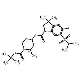 CC(C)S(=O)(=O)c1cc2c(cc1F)C(C)(C)CN2C(=O)CN1CCN(C(=O)OC(C)(C)C)[C@H](C)C1